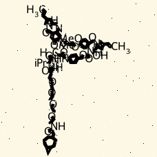 C/C=C/C1=CN2C(=O)c3cc(OC)c(OCCCOc4cc5c(cc4OC)C(=O)N4C=C(/C=C/C)C[C@H]4[C@H](O)N5C(=O)OCc4ccc(NC(=O)[C@H](C)NC(=O)[C@@H](NC(=O)CCOCCOCCOCCOCCNC(=O)CC5CCCC6CC6CC5)C(C)C)cc4)cc3N=C[C@@H]2C1